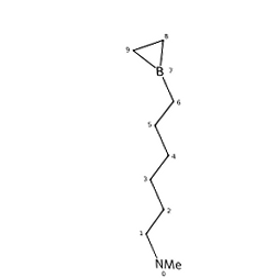 CNCCCCCCB1CC1